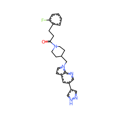 O=C(CCc1ccccc1F)N1CCC(Cn2ccc3cc(-c4cn[nH]c4)cnc32)CC1